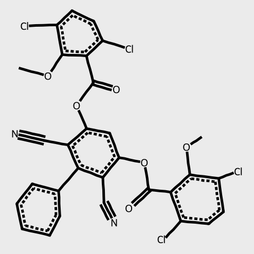 COc1c(Cl)ccc(Cl)c1C(=O)Oc1cc(OC(=O)c2c(Cl)ccc(Cl)c2OC)c(C#N)c(-c2ccccc2)c1C#N